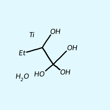 CCC(O)C(O)(O)O.O.[Ti]